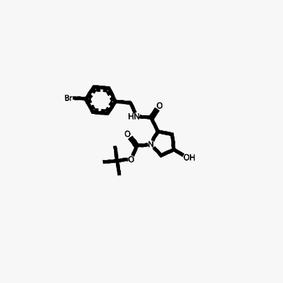 CC(C)(C)OC(=O)N1CC(O)CC1C(=O)NCc1ccc(Br)cc1